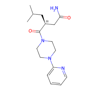 CC(C)C[C@@H](CC(N)=O)C(=O)N1CCN(c2ccccn2)CC1